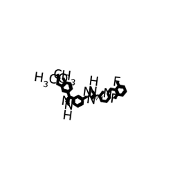 CC1(C)Cc2cc(-c3n[nH]c4ccc(-c5n[nH]c([C@@H]6CCCN(Cc7c(F)cccc7F)C6)n5)cc34)ccc2O1